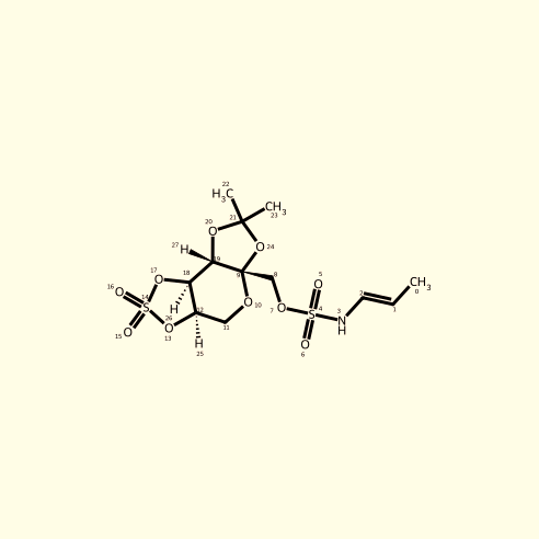 CC=CNS(=O)(=O)OC[C@@]12OC[C@H]3OS(=O)(=O)O[C@H]3[C@@H]1OC(C)(C)O2